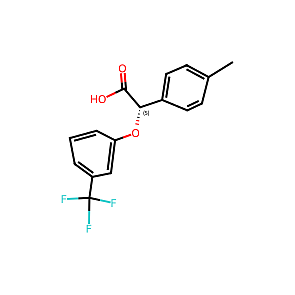 Cc1ccc([C@H](Oc2cccc(C(F)(F)F)c2)C(=O)O)cc1